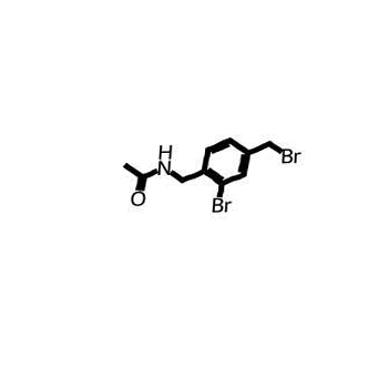 CC(=O)NCc1ccc(CBr)cc1Br